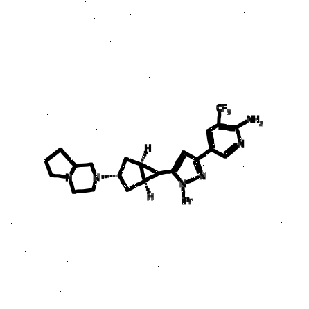 CC(C)n1nc(-c2cnc(N)c(C(F)(F)F)c2)cc1C1[C@H]2C[C@H](N3CCN4CCCC4C3)C[C@@H]12